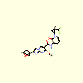 CC(C)Oc1nc2nc([C@]34CO[C@](C)(C3)C4)cn2cc1C(=O)Nc1cccn(C2CC2(C)C(F)F)c1=O